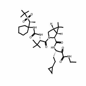 CCNC(=O)C(=O)[C@H](CCC1CC1)NC(=O)[C@@H]1[C@@H]2[C@H](CN1C(=O)[C@@H](NC(=O)NC1([C@H](C)S(=O)(=O)C(C)(C)C)CCCCC1)C(C)(C)C)C2(C)C